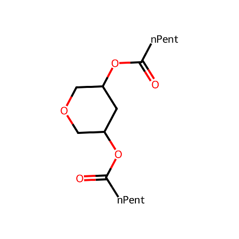 CCCCCC(=O)OC1COCC(OC(=O)CCCCC)C1